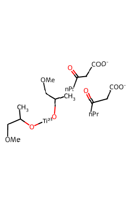 CCCC(=O)CC(=O)[O-].CCCC(=O)CC(=O)[O-].COCC(C)[O][Ti+2][O]C(C)COC